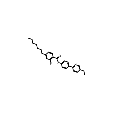 CCCCCCCc1ccc(C(=O)Oc2ccc(-c3ccc(CC)cn3)cc2)c(F)c1